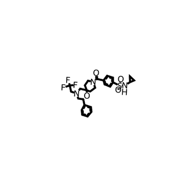 O=C(c1ccc(S(=O)(=O)NC2CC2)cc1)N1CCC2(CC1)CN(CC(F)(F)F)CC(c1ccccc1)O2